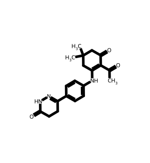 CC(=O)C1=C(Nc2ccc(C3=NNC(=O)CC3)cc2)CC(C)(C)CC1=O